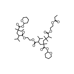 CCC(=O)OCCOC(=O)C(C)C(C)(C)CC(C)(CC(C(=O)OCCOC(=O)C(CC(C)(CC)C(=O)OC1CCCCO1)C(C)C)C(C)C)C(=O)OC1CCCCO1